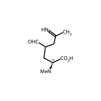 CN[C@@H](CC(C=O)CC(C)=N)C(=O)O